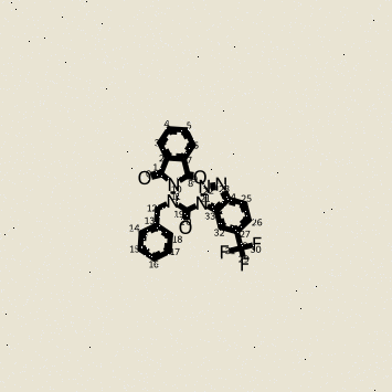 O=C1c2ccccc2C(=O)N1N(Cc1ccccc1)C(=O)n1nnc2ccc(C(F)(F)F)cc21